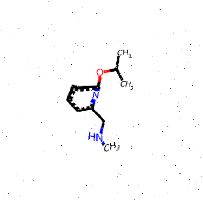 CNCc1cccc(OC(C)C)n1